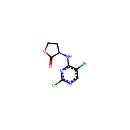 O=C1OCC[C@H]1Nc1nc(Cl)ncc1Br